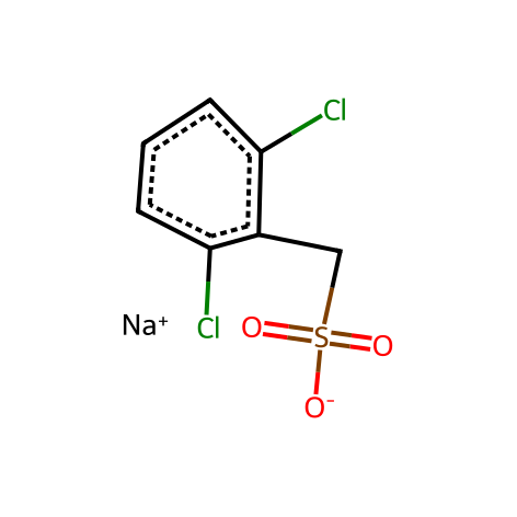 O=S(=O)([O-])Cc1c(Cl)cccc1Cl.[Na+]